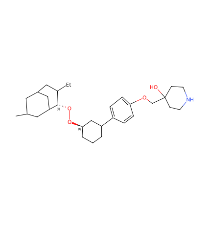 CCC1CC2CC(C)CC(C2)[C@H]1OO[C@@H]1CCCC(c2ccc(OCC3(O)CCNCC3)cc2)C1